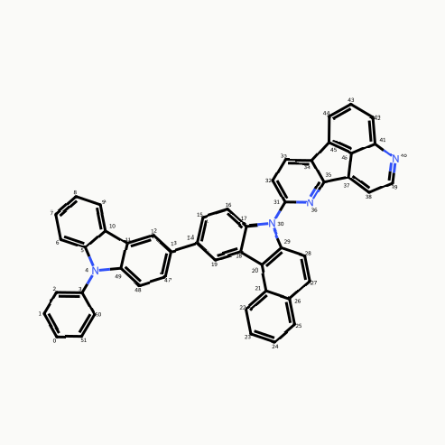 c1ccc(-n2c3ccccc3c3cc(-c4ccc5c(c4)c4c6ccccc6ccc4n5-c4ccc5c(n4)-c4ccnc6cccc-5c46)ccc32)cc1